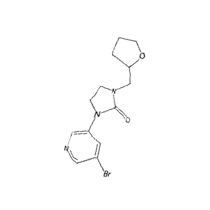 O=C1N(CC2CCCO2)CCN1c1cncc(Br)c1